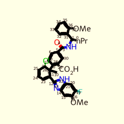 CCCC(NC(=O)c1ccc(C2(C)C(c3nc4cc(OC)c(F)cc4[nH]3)=CC=C[C@@H]2Cl)c(C(=O)O)c1)c1ccccc1OC